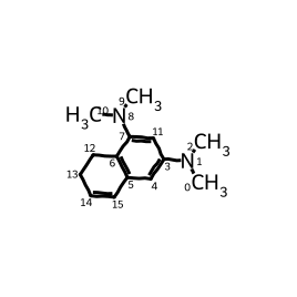 CN(C)c1cc2c(c(N(C)C)c1)CCC=C2